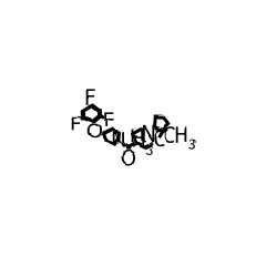 CC1(C)CCCC1N1CCC(C(=O)N2CCC(Oc3c(F)cc(F)cc3F)CC2)CC1